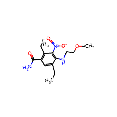 CCc1cc(C(N)=O)c(CC)c([N+](=O)[O-])c1NCCOC